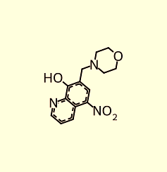 O=[N+]([O-])c1cc(CN2CCOCC2)c(O)c2ncccc12